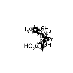 Cc1ccc2c(c1)cc(C1=NOC(C(=O)NC(CC(=O)O)C(O)CF)(C(C)C)C1)n2C